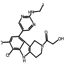 O=C(CO)N1CCc2[nH]c3c(Cl)c(Cl)cc(-c4cnc(NCI)nc4)c3c2C1